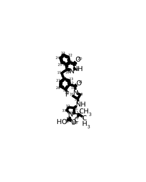 CC(C)(C)[C@@H]1C(NC2CN(C(=O)c3cc(Cc4n[nH]c(=O)c5ccccc45)ccc3F)C2)CCN1C(=O)O